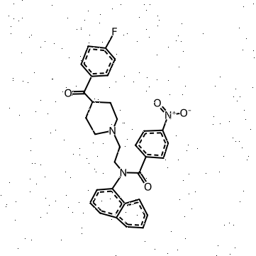 O=C(c1ccc(F)cc1)C1CCN(CCN(C(=O)c2ccc([N+](=O)[O-])cc2)c2cccc3ccccc23)CC1